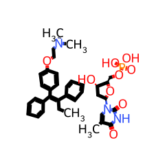 CC/C(=C(\c1ccccc1)c1ccc(OCCN(C)C)cc1)c1ccccc1.Cc1cn([C@H]2C[C@H](O)[C@@H](COP(=O)(O)O)O2)c(=O)[nH]c1=O